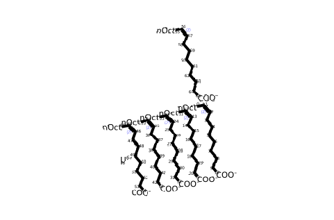 CCCCCCCC/C=C\CCCCCCCC(=O)[O-].CCCCCCCC/C=C\CCCCCCCC(=O)[O-].CCCCCCCC/C=C\CCCCCCCC(=O)[O-].CCCCCCCC/C=C\CCCCCCCC(=O)[O-].CCCCCCCC/C=C\CCCCCCCC(=O)[O-].CCCCCCCC/C=C\CCCCCCCC(=O)[O-].[U+6]